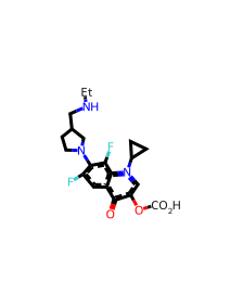 CCNCC1CCN(c2c(F)cc3c(=O)c(OC(=O)O)cn(C4CC4)c3c2F)C1